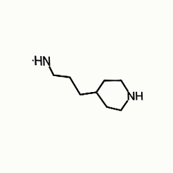 [NH]CCCC1CCNCC1